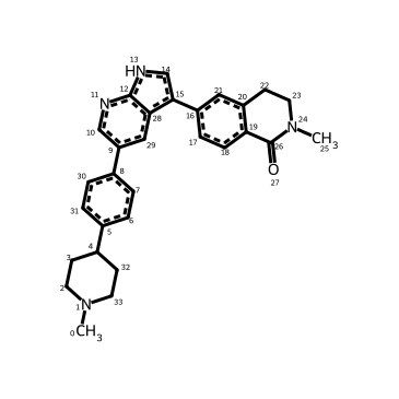 CN1CCC(c2ccc(-c3cnc4[nH]cc(-c5ccc6c(c5)CCN(C)C6=O)c4c3)cc2)CC1